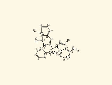 COc1ccccc1-n1c(Cn2nc(I)c3c(N)ncnc32)cc2cccc(C)c2c1=O